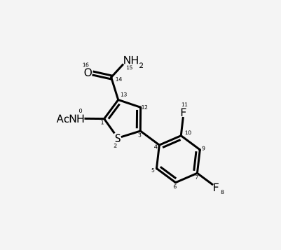 CC(=O)Nc1sc(-c2ccc(F)cc2F)cc1C(N)=O